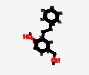 OCc1ccc(O)c(CCc2ccccc2)c1